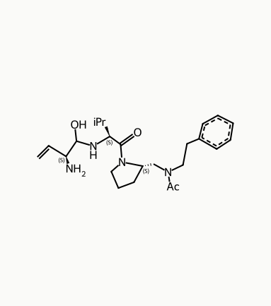 C=C[C@H](N)C(O)N[C@H](C(=O)N1CCC[C@H]1CN(CCc1ccccc1)C(C)=O)C(C)C